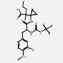 CCCC(C)(C(=O)O)C1(NC(=O)C(Cc2ccc(OC)c(Cl)c2)NC(=O)OC(C)(C)C)CC1